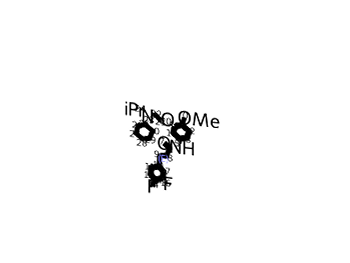 COc1ccc(NC(=O)/C=C/c2ccc(F)c(F)c2)cc1OCCN(C(C)C)C1CCCCC1